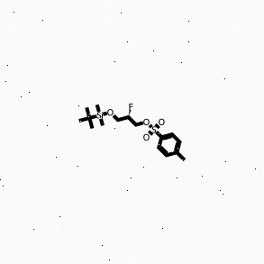 Cc1ccc(S(=O)(=O)OC[C@@H](F)CO[Si](C)(C)C(C)(C)C)cc1